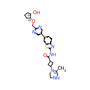 C[C@H]1CNCCN1C1CC(C(=O)Nc2nc3ccc(-c4cnc(CO[C@H]5CCC[C@@H]5O)nc4)cc3s2)C1